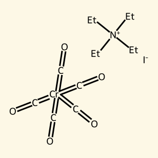 CC[N+](CC)(CC)CC.O=[C]=[Cr](=[C]=O)(=[C]=O)(=[C]=O)=[C]=O.[I-]